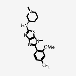 COc1cc(C(F)(F)F)ccc1-c1nc2nc(N[C@@H]3CCCN(C)C3)sc2n1C